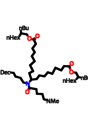 CCCCCCCCCCCCCCN(C(=O)CCCCNC)C(CCCCCCCCC(=O)OCC(CCCC)CCCCCC)CCCCCCCCC(=O)OCC(CCCC)CCCCCC